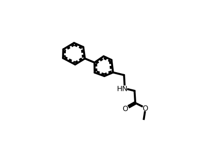 COC(=O)CNCc1ccc(-c2ccccc2)cc1